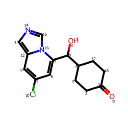 O=C1CCC(C(O)c2cc(Cl)cc3cncn23)CC1